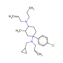 C=CCN(CCC)C1CCC(c2ccc(Cl)cc2)(N(CC=C)CC2CC2)CC1C